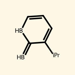 B=C1BC=CC=C1C(C)C